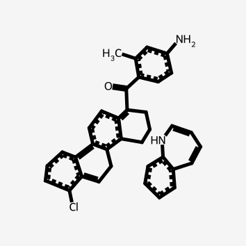 C1=CNc2ccccc2C=C1.Cc1cc(N)ccc1C(=O)C1=c2ccc3c(c2CCC1)CC=c1c(Cl)cccc1=3